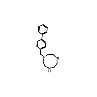 c1ccc(-c2ccc(CN3CCNCCNCC3)cc2)cc1